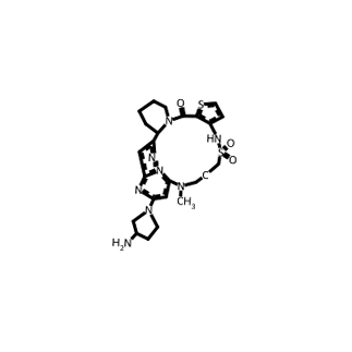 CN1CCCS(=O)(=O)Nc2ccsc2C(=O)N2CCCCC2c2cc3nc(N4CCC(N)C4)cc1n3n2